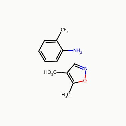 Cc1oncc1C(=O)O.Nc1ccccc1C(F)(F)F